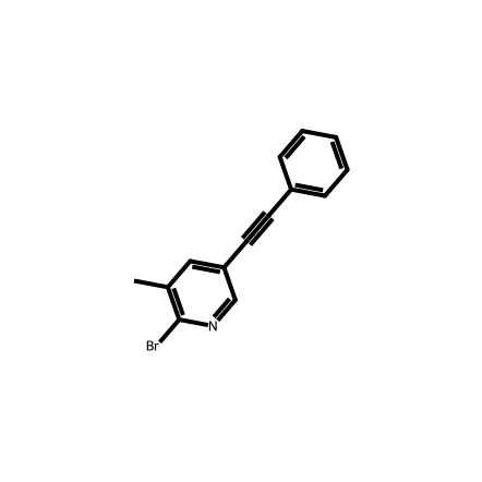 Cc1cc(C#Cc2ccccc2)cnc1Br